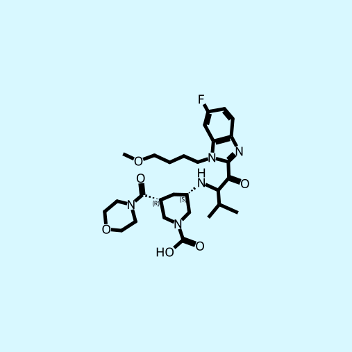 COCCCCn1c(C(=O)C(N[C@H]2C[C@@H](C(=O)N3CCOCC3)CN(C(=O)O)C2)C(C)C)nc2ccc(F)cc21